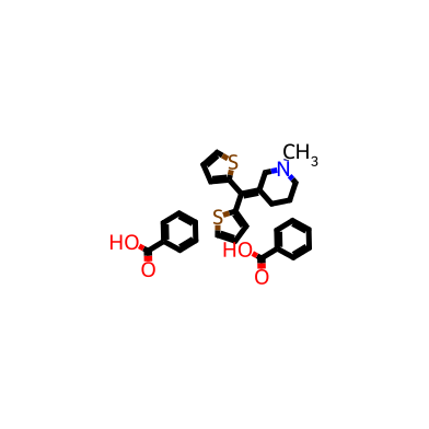 CN1CCCC(=C(c2cccs2)c2cccs2)C1.O=C(O)c1ccccc1.O=C(O)c1ccccc1